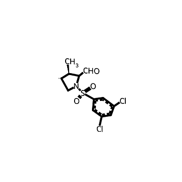 C[C@@H]1[CH]CN(S(=O)(=O)c2cc(Cl)cc(Cl)c2)C1C=O